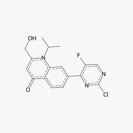 CC(C)n1c(CO)cc(=O)c2ccc(-c3nc(Cl)ncc3F)cc21